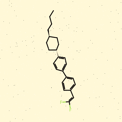 CCCC[C@H]1CC[C@H](c2ccc(-c3ccc(C=C(F)F)cc3)cc2)CC1